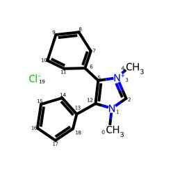 Cn1c[n+](C)c(-c2ccccc2)c1-c1ccccc1.[Cl-]